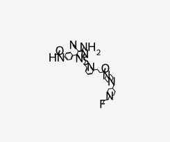 CC(=O)Nc1ccc(-c2nc(SCc3cccc(CCC(=O)N4CCN(CC5CCN(CCF)CC5)CC4)n3)nc(N)c2C#N)cc1